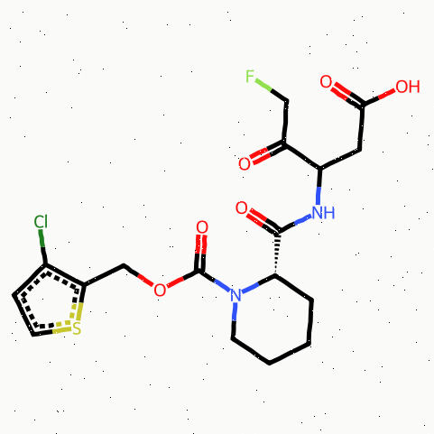 O=C(O)CC(NC(=O)[C@@H]1CCCCN1C(=O)OCc1sccc1Cl)C(=O)CF